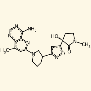 Cc1cc(N2CCCC(c3cc([C@]4(O)CCN(C)C4=O)on3)C2)nc2c(N)ncnc12